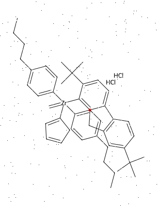 Cl.Cl.[CH2]=[Zr]([C]1=CC=CC1)([c]1ccc(CCCC)cc1)([c]1ccc(CCCC)cc1)[c]1c(C(C)(C)C)ccc2c1Cc1cc(C(C)(C)C)ccc1-2